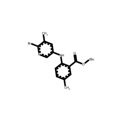 Cc1ccc(Nc2cnc(Br)c(C)c2)c(C(=O)OC(C)(C)C)c1